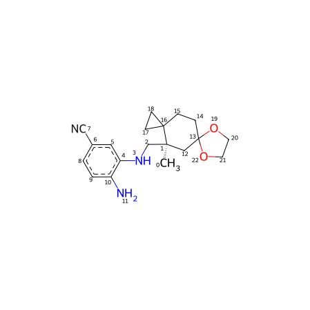 C[C@@]1(CNc2cc(C#N)ccc2N)CC2(CCC13CC3)OCCO2